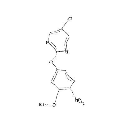 CCOc1cc(Oc2ncc(Cl)cn2)ccc1[N+](=O)[O-]